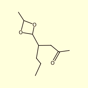 CCCC(CC(C)=O)C1OC(C)O1